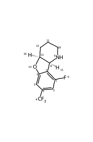 Fc1cc(C(F)(F)F)cc2c1[C@@H]1NCCC[C@@H]1O2